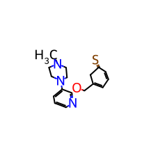 CN1CCN(c2cccnc2OCC2=CC=CC(=S)C2)CC1